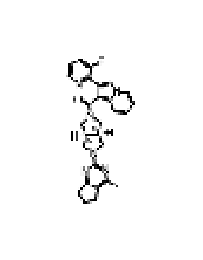 Cc1nc(N2C[C@H]3CN(C(=O)c4c(-c5ncccc5F)cn5ccccc45)C[C@H]3C2)nc2c1CCC2